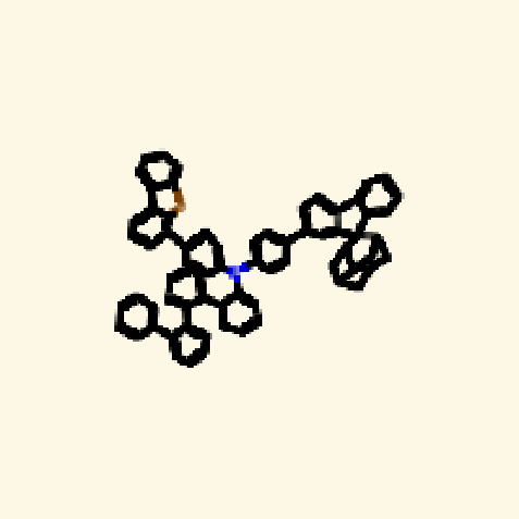 c1ccc(-c2ccccc2-c2ccccc2-c2ccccc2N(c2ccc(-c3ccc4c(c3)C3(c5ccccc5-4)C4CC5CC(C4)CC3C5)cc2)c2ccc(-c3cccc4c3sc3ccccc34)cc2)cc1